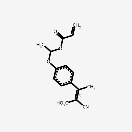 C=CC(=O)OC(C)Oc1ccc(/C(C)=C(/C#N)C(=O)O)cc1